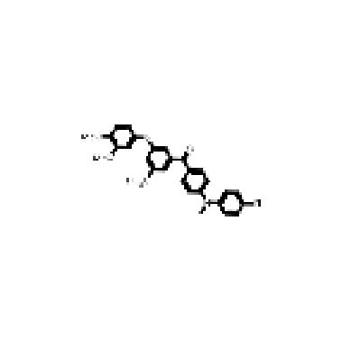 COc1ccc(Sc2cc(C(=O)O)cc(C(=O)c3ccc(N(C)c4ccc(Cl)cc4)cc3)c2)cc1OC